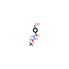 CC(C)(C)OC(=O)NNC(=O)c1ccc(CO)cc1